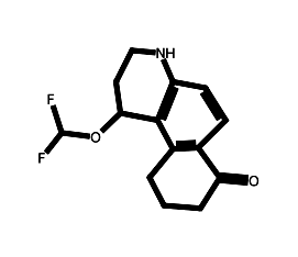 O=C1CCCc2c1ccc1c2C(OC(F)F)CCN1